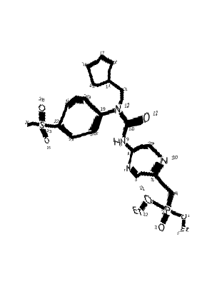 CCOP(=O)(Cc1cnc(NC(=O)N(CC2CCCC2)c2ccc(S(C)(=O)=O)cc2)cn1)OCC